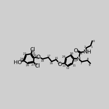 CCCNC(=O)N(CCC)c1ccc(OCCCCOc2c(Cl)cc(O)cc2Cl)cc1